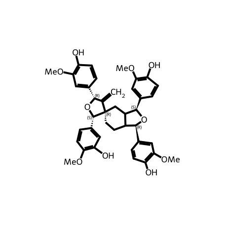 C=C1[C@@H](c2ccc(O)c(OC)c2)O[C@@H](c2ccc(OC)c(O)c2)[C@@]12CCC1C(C2)[C@@H](c2ccc(O)c(OC)c2)O[C@H]1c1ccc(O)c(OC)c1